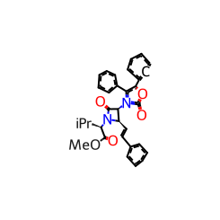 COC(=O)[C@@H](C(C)C)N1C(=O)[C@@H](n2c(-c3ccccc3)c(-c3ccccc3)oc2=O)[C@H]1C=Cc1ccccc1